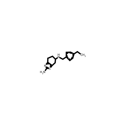 CCc1ccc(CNC2CCc3nc(N)sc3C2)cc1